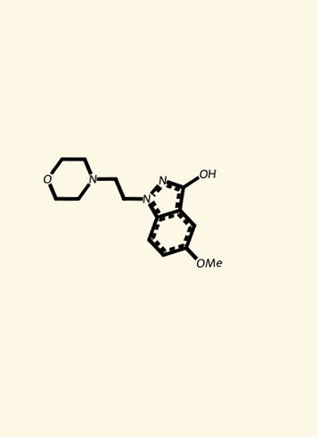 COc1ccc2c(c1)c(O)nn2CCN1CCOCC1